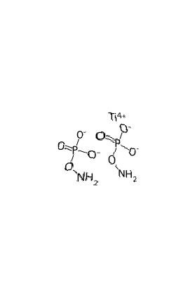 NOP(=O)([O-])[O-].NOP(=O)([O-])[O-].[Ti+4]